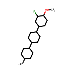 CCCC1CCC(C2CCC(C3CCC(OC(F)(F)F)C(F)C3)CC2)CC1